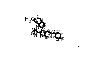 CN1CCc2ccc(-n3c(-c4nonc4N)nc4cnc(Oc5ccc(F)cc5)cc43)cc2C1